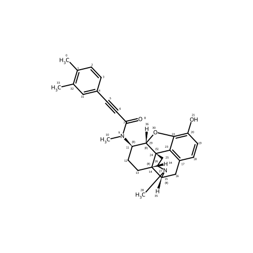 Cc1ccc(C#CC(=O)N(C)[C@@H]2CC[C@H]3[C@H]4Cc5ccc(O)c6c5[C@@]3(CCN4C)[C@H]2O6)cc1C